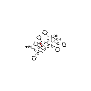 CC1C(OCc2ccccc2)[C@H](OCCN=[N+]=[N-])O[C@@H](COCc2ccccc2)[C@H]1O[C@@H]1OC(COCc2ccccc2)[C@H](O[C@H]2CC(COCc3ccccc3)[C@H](O)[C@H](O)C2OCc2ccccc2)[C@H](C)C1OCc1ccccc1